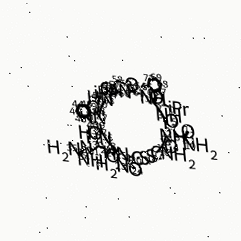 CC(C)C[C@@H]1NC(=O)[C@H](CCC(N)=O)NC(=O)[C@@H](N)CSSC[C@@H](C(N)=O)NC(=O)[C@H](CCCNC(=N)N)NC(=O)[C@H](Cc2ccccc2)NC(=O)[C@H](CC(C)C)NC(=O)[C@@H]2CCCN2C(=O)[C@H](Cc2ccccc2)NC1=O